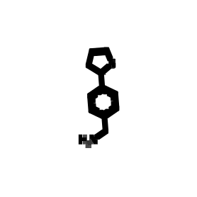 NCc1ccc([C]2CC=CS2)cc1